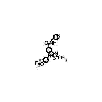 Cc1nc2c3cc(C(=O)NCc4ccncc4)ccc3n(-c3ccc(OC(F)(F)F)cc3)c2s1